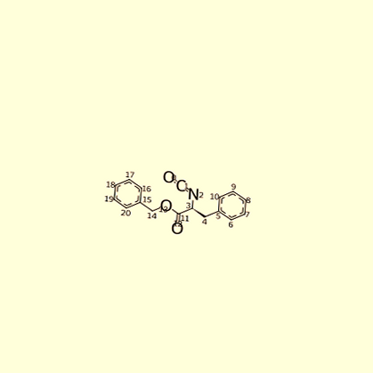 O=C=N[C@@H](Cc1ccccc1)C(=O)OCc1ccccc1